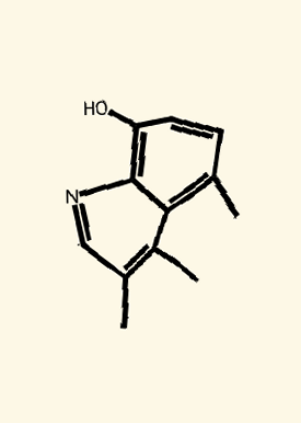 Cc1[c]nc2c(O)ccc(C)c2c1C